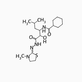 CC(C)CC(NC(=O)C1CCCCC1)C(O)C(=O)NN=C1SCCN1C